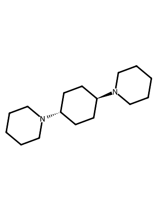 C1CCN([C@H]2CC[C@H](N3CCCCC3)CC2)CC1